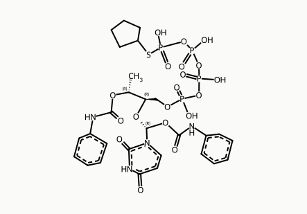 C[C@@H](OC(=O)Nc1ccccc1)[C@@H](COP(=O)(O)OP(=O)(O)OP(=O)(O)OP(=O)(O)SC1CCCC1)O[C@H](OC(=O)Nc1ccccc1)n1ccc(=O)[nH]c1=O